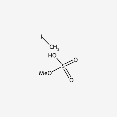 CI.COS(=O)(=O)O